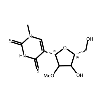 COC1C(O)[C@@H](CO)O[C@H]1c1cn(C)c(=S)[nH]c1=S